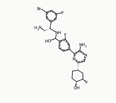 NC[C@@H](NC(O)c1ccc(-c2nc([C@H]3CC[C@H](O)[C@H](F)C3)cnc2N)cc1F)c1cc(F)cc(Br)c1